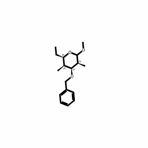 CC[C@H]1OC(OC)[C@@H](C)[C@@H](OCc2ccccc2)[C@H]1C